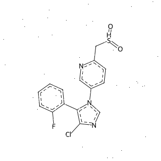 O=[SH](=O)Cc1ccc(-n2cnc(Cl)c2-c2ccccc2F)cn1